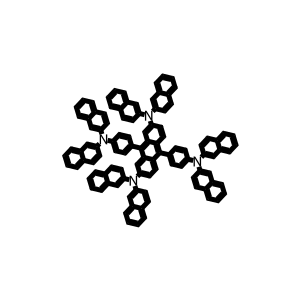 c1ccc2cc(N(c3ccc(-c4c5ccc(N(c6ccc7ccccc7c6)c6ccc7ccccc7c6)cc5c(-c5ccc(N(c6ccc7ccccc7c6)c6ccc7ccccc7c6)cc5)c5cc(N(c6ccc7ccccc7c6)c6ccc7ccccc7c6)ccc45)cc3)c3ccc4ccccc4c3)ccc2c1